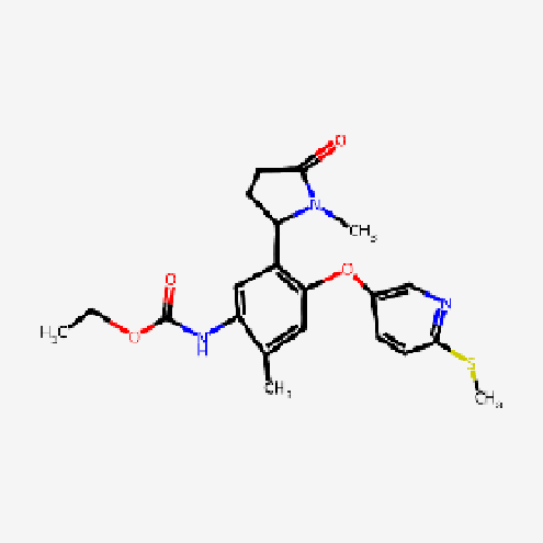 CCOC(=O)Nc1cc(C2CCC(=O)N2C)c(Oc2ccc(SC)nc2)cc1C